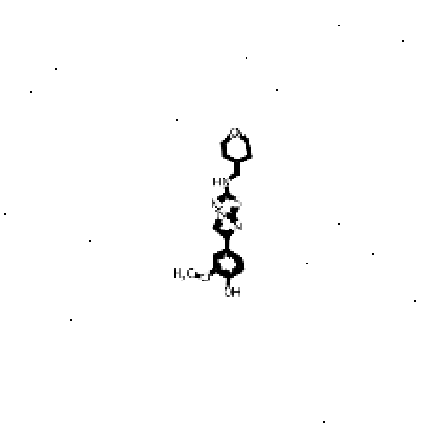 COc1cc(-c2cn3nc(NCC4CCOCC4)sc3n2)ccc1O